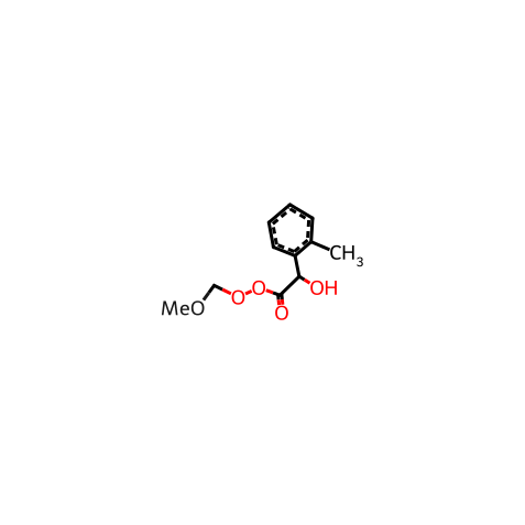 COCOOC(=O)C(O)c1ccccc1C